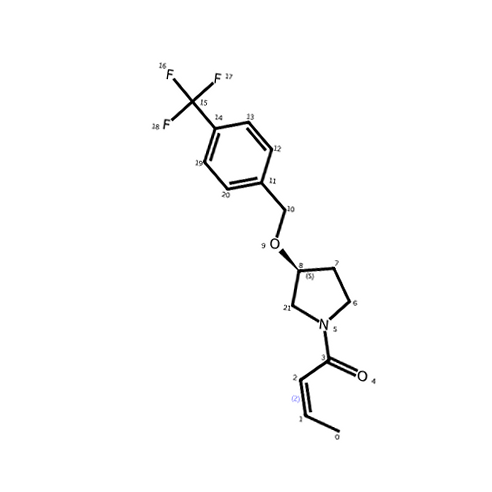 C/C=C\C(=O)N1CC[C@H](OCc2ccc(C(F)(F)F)cc2)C1